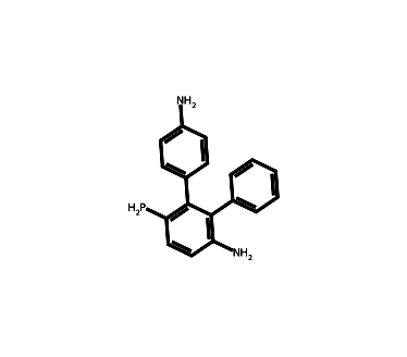 Nc1ccc(-c2c(P)ccc(N)c2-c2ccccc2)cc1